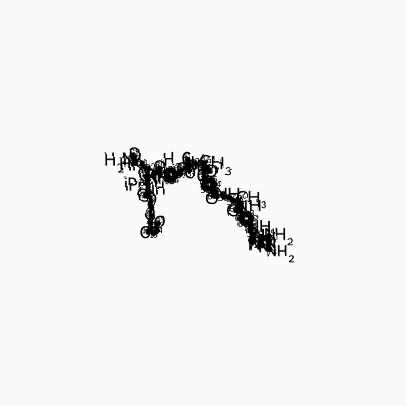 CC(C)[C@H](NC(=O)OCCOCCN1C(=O)C=CC1=O)C(=O)N[C@@H](CCCNC(N)=O)C(=O)Nc1ccc(COC(=O)N(C)CCN(C)C(=O)Oc2ccc(C(=O)NCCC[C@@H](C)NC(=O)c3ccc(NCc4cnc5nc(N)nc(N)c5n4)cc3)cc2)cc1